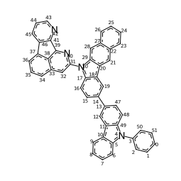 c1ccc(-n2c3ccccc3c3cc(-c4ccc5c(c4)c4cc6ccccc6cc4n5-c4cc5cccc6c5c(n4)-c4ncccc4-6)ccc32)cc1